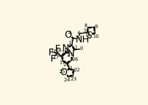 Cc1c(C(=O)NCc2cccs2)nc2c(C(F)(F)F)cc(-c3ccco3)cn12